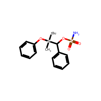 CC(C)(C)[Si](C)(Oc1[c]cccc1)C(OS(N)(=O)=O)c1ccccc1